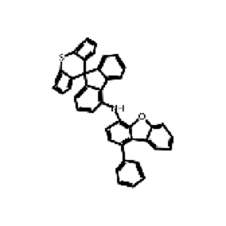 c1ccc(-c2ccc(Nc3cccc4c3-c3ccccc3C43c4ccccc4Sc4ccccc43)c3oc4ccccc4c23)cc1